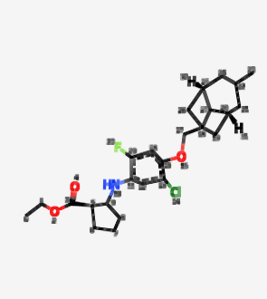 CCOC(=O)[C@@H]1CCCC1Nc1cc(Cl)c(OCC23C[C@H]4CC(C)C[C@@H](C2)C43)cc1F